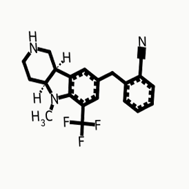 CN1c2c(cc(Cc3ccccc3C#N)cc2C(F)(F)F)[C@@H]2CNCC[C@@H]21